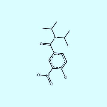 CC(C)N(C(=O)c1ccc(Cl)c([N+](=O)[O-])c1)C(C)C